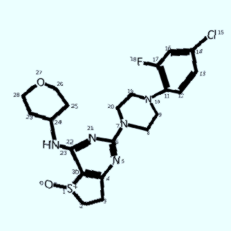 [O-][S+]1CCc2nc(N3CCN(c4ccc(Cl)cc4F)CC3)nc(NC3CCOCC3)c21